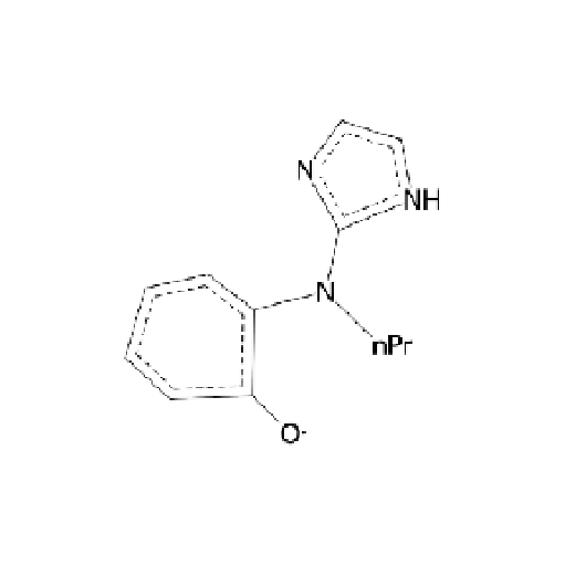 CCCN(c1ncc[nH]1)c1ccccc1[O]